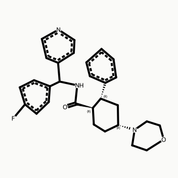 O=C(NC(c1ccncc1)c1ccc(F)cc1)[C@@H]1CC[C@@H](N2CCOCC2)C[C@H]1c1ccccc1